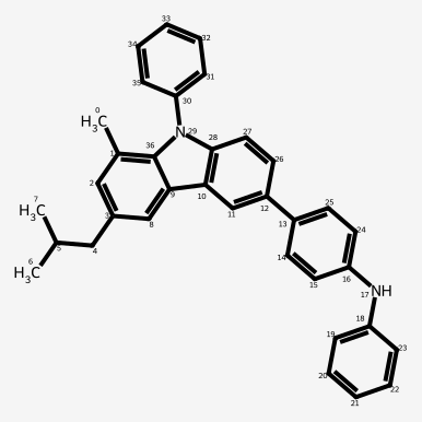 Cc1cc(CC(C)C)cc2c3cc(-c4ccc(Nc5ccccc5)cc4)ccc3n(-c3ccccc3)c12